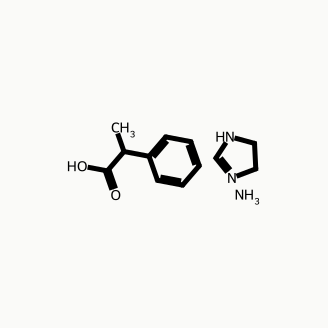 C1=NCCN1.CC(C(=O)O)c1ccccc1.N